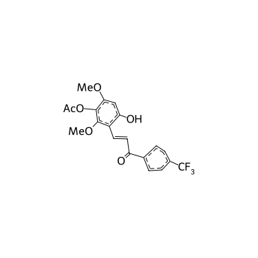 COc1cc(O)c(/C=C/C(=O)c2ccc(C(F)(F)F)cc2)c(OC)c1OC(C)=O